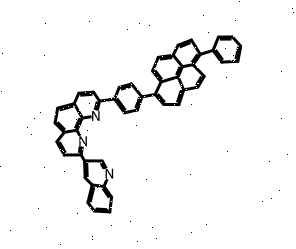 c1ccc(-c2ccc3ccc4c(-c5ccc(-c6ccc7ccc8ccc(-c9cnc%10ccccc%10c9)nc8c7n6)cc5)ccc5ccc2c3c54)cc1